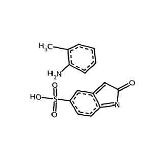 Cc1ccccc1N.O=C1C=c2cc(S(=O)(=O)O)ccc2=N1